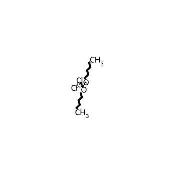 CCCCCC[O][V][O]CCCCCC.ClOCl